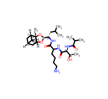 CC(C)C[C@H](NC(=O)C(CCCCN)NC(=O)[C@@H](NC(=O)C(C)C)[C@@H](C)O)B1O[C@@H]2C[C@@H]3C[C@@H](C3(C)C)[C@]2(C)O1